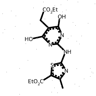 CCOC(=O)Cc1c(O)nc(Nc2nc(C)c(C(=O)OCC)s2)nc1O